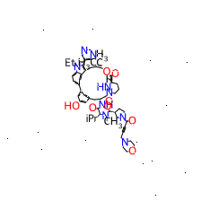 CCn1c(-c2cncnc2)c2c3cc(ccc31)-c1cc(O)cc(c1)C[C@H](NC(=O)C(C(C)C)N(C)C(=O)[C@H]1CCN(C(=O)C#CCN3CCOCC3)C1)C(=O)N1CCC[C@H](N1)C(=O)OCC(C)(C)C2